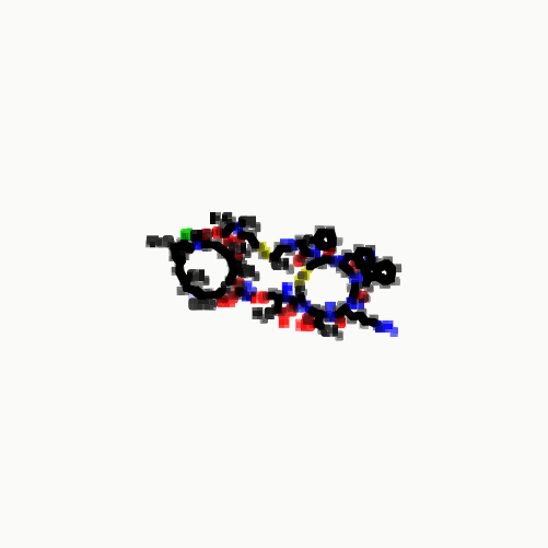 COc1cc2cc(c1Cl)N(C)C(=O)C[C@H](OC(=O)[C@H](C)N(C)C(=O)CCSSC(C)CCN[C@H](Cc1ccccc1)C(=O)N[C@H]1CSSC[C@@H](C(=O)N[C@H](CO)[C@@H](C)O)NC(=O)[C@H]([C@@H](C)O)NC(=O)[C@H](CCCCN)NC(=O)[C@@H](Cc3c[nH]c4ccccc34)NC(=O)[C@H](Cc3ccccc3)NC1=O)[C@]1(C)O[C@H]1[C@H](C)[C@@H](OC(N)=O)CC(O)[C@H](OC)/C=C/C=C(\C)C2